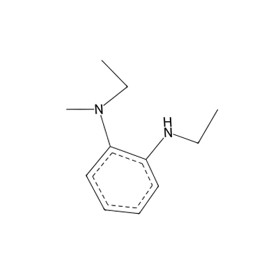 CCNc1ccccc1N(C)CC